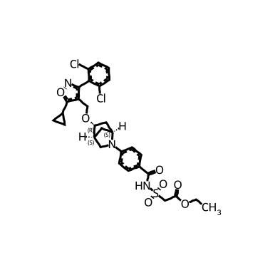 CCOC(=O)CS(=O)(=O)NC(=O)c1ccc(N2C[C@@H]3C[C@H]2C[C@H]3OCc2c(-c3c(Cl)cccc3Cl)noc2C2CC2)cc1